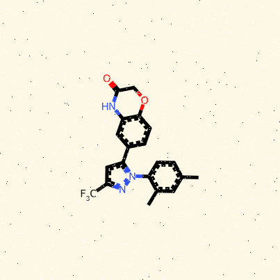 Cc1ccc(-n2nc(C(F)(F)F)cc2-c2ccc3c(c2)NC(=O)CO3)c(C)c1